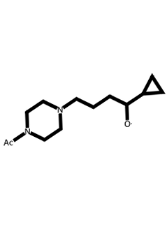 CC(=O)N1CCN(CCCC([O])C2CC2)CC1